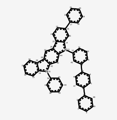 c1ccc(-c2ccc(-c3cccc(-n4c5cc(-c6ccccc6)ccc5c5cc6c7ccccc7n(-c7ccccc7)c6cc54)c3)cc2)cc1